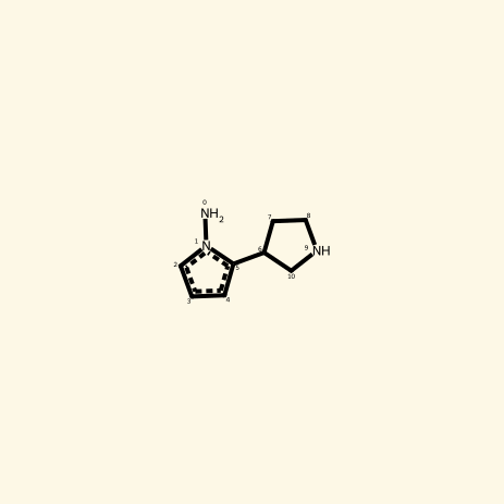 Nn1cccc1C1CCNC1